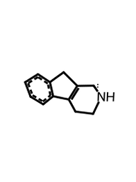 [C]1NCCC2=C1Cc1ccccc12